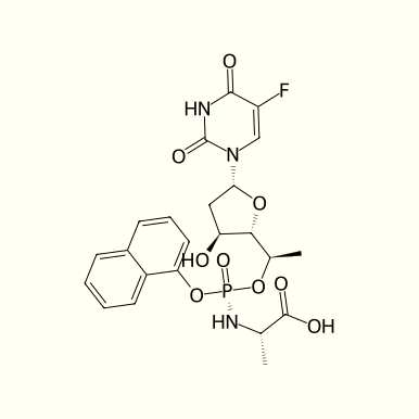 C[C@H](N[P@@](=O)(Oc1cccc2ccccc12)O[C@H](C)[C@H]1O[C@@H](n2cc(F)c(=O)[nH]c2=O)C[C@@H]1O)C(=O)O